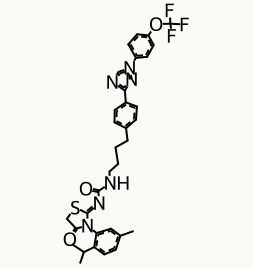 Cc1ccc(C(C)C)c(N2C(=O)CS/C2=N\C(=O)NCCCCc2ccc(-c3ncn(-c4ccc(OC(F)(F)F)cc4)n3)cc2)c1